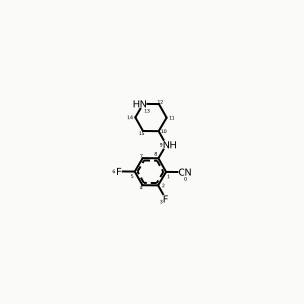 N#Cc1c(F)cc(F)cc1NC1CCNCC1